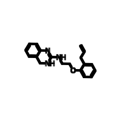 C=CCc1ccccc1OCCNC1=Nc2ccccc2CN1